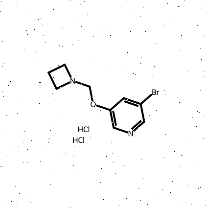 Brc1cncc(OCN2CCC2)c1.Cl.Cl